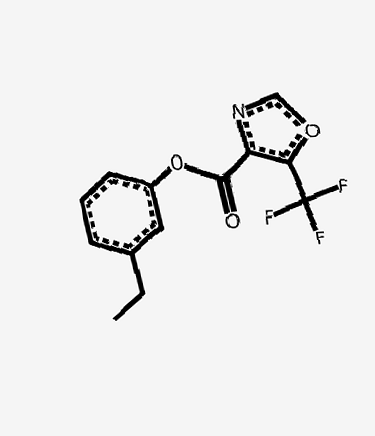 CCc1cccc(OC(=O)c2ncoc2C(F)(F)F)c1